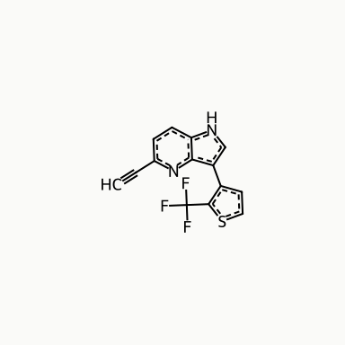 C#Cc1ccc2[nH]cc(-c3ccsc3C(F)(F)F)c2n1